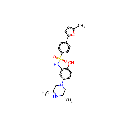 Cc1ccc(-c2ccc(S(=O)(=O)Nc3cc(N4C[C@@H](C)N[C@@H](C)C4)ccc3O)cc2)o1